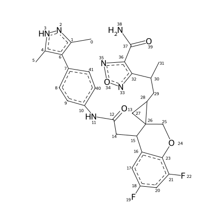 Cc1n[nH]c(C)c1-c1ccc(NC(=O)CC2c3cc(F)cc(F)c3OCC23CC3CC(C)c2nonc2C(N)=O)cc1